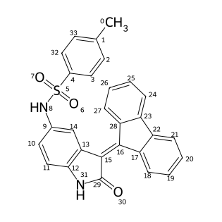 Cc1ccc(S(=O)(=O)Nc2ccc3c(c2)C(=C2c4ccccc4-c4ccccc42)C(=O)N3)cc1